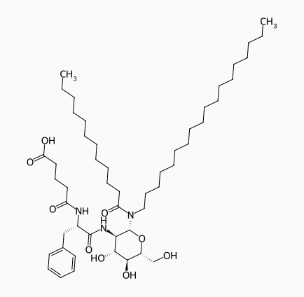 CCCCCCCCCCCCCCCCCCN(C(=O)CCCCCCCCCCC)[C@@H]1O[C@H](CO)[C@@H](O)[C@H](O)[C@H]1NC(=O)[C@H](Cc1ccccc1)NC(=O)CCCC(=O)O